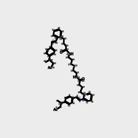 CC(=O)CN(C)c1ccc(/C=C/c2cccc[n+]2CCCC(=O)NCCSSCCNC(=O)CCC[n+]2ccccc2/C=C/c2ccc(N(C)CC(C)=O)cc2)cc1